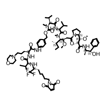 CC[C@H](C)[C@@H]([C@@H](CC(=O)N1CCC[C@H]1[C@H](OC)[C@@H](C)C(=O)N[C@H](C)[C@@H](O)c1ccccc1)OC)N(C)C(=O)[C@@H](NC(=O)[C@H](C(C)C)N(C)C(=O)OCc1ccc(NC(=O)[C@H](CCCN2CCOCC2)NC(=O)[C@@H](N[C@H](CCCCCN2C(=O)C=CC2=O)C(F)(F)F)C(C)C)cc1)C(C)C